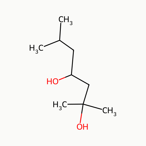 CC(C)CC(O)CC(C)(C)O